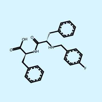 O=C(O)[C@H](Cc1ccccc1)NC(=O)[C@H](Cc1ccccc1)NCc1ccc(F)cc1